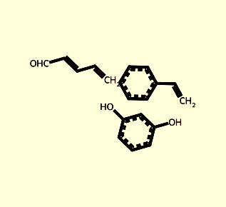 C=CC=CC=O.C=Cc1ccccc1.Oc1cccc(O)c1